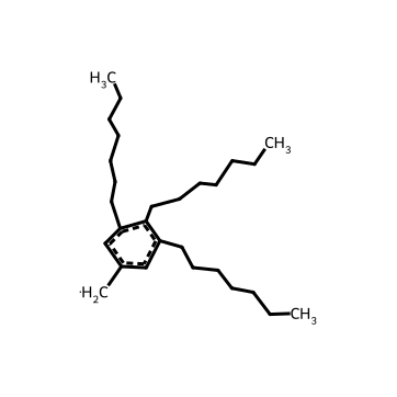 [CH2]c1cc(CCCCCCC)c(CCCCCCC)c(CCCCCCC)c1